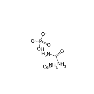 N.NC(N)=O.O=P([O-])([O-])O.[Ca+2]